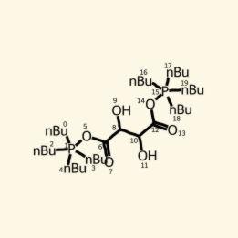 CCCCP(CCCC)(CCCC)(CCCC)OC(=O)C(O)C(O)C(=O)OP(CCCC)(CCCC)(CCCC)CCCC